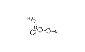 CCCCOC1(c2ccccc2)C=CC(c2ccc(C#N)cc2)=CC1